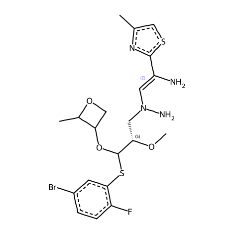 CO[C@@H](CN(N)/C=C(\N)c1nc(C)cs1)C(OC1COC1C)Sc1cc(Br)ccc1F